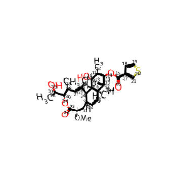 CO[C@H]1C[C@H]2C=C[C@]3(C)[C@H]4[C@H](O)[C@@H](C)[C@@H](OC(=O)c5ccsc5)[C@@H]3C[C@@]24/C(C)=C/[C@@H](C)[C@@H]([C@@H](C)O)OC1=O